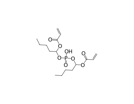 C=CC(=O)OC(CCCC)OP(=O)(O)OC(CCCC)OC(=O)C=C